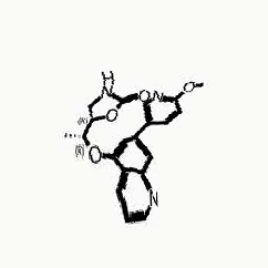 COc1ccc(-c2cc(O[C@H](C)[C@H]3CNC(=O)O3)c3cccnc3c2)cn1